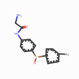 CC(=O)c1ccc([S+]([O-])c2ccc(NC(=O)CN)cc2)cc1